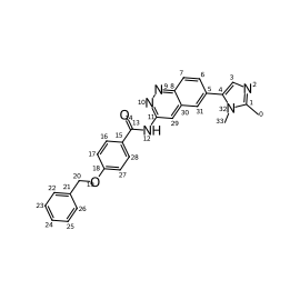 Cc1ncc(-c2ccc3nnc(NC(=O)c4ccc(OCc5ccccc5)cc4)cc3c2)n1C